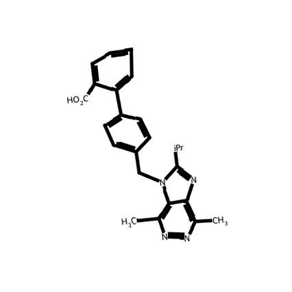 Cc1nnc(C)c2c1nc(C(C)C)n2Cc1ccc(-c2ccccc2C(=O)O)cc1